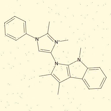 Cc1c(C)n(-c2cn(-c3ccccc3)c(C)[n+]2C)c2c1c1ccccc1n2C